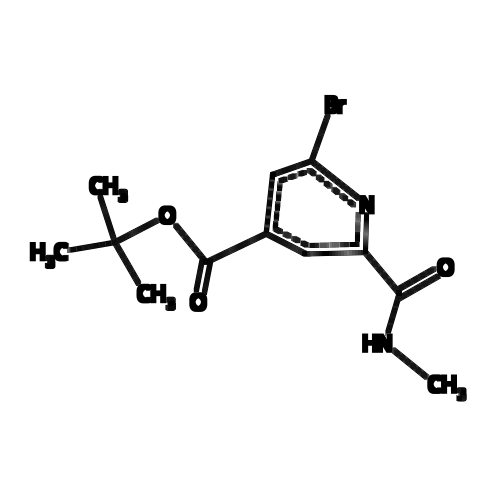 CNC(=O)c1cc(C(=O)OC(C)(C)C)cc(Br)n1